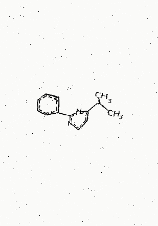 CC(C)c1ccnc(-c2ccccc2)n1